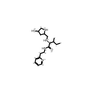 CCC(C)[C@H](NCC1CC(S)CN1)C(=O)NCCc1ccccn1